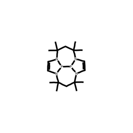 CC1(C)CC(C)(C)N2C=CN3P2P2N1C=CN2C(C)(C)CC3(C)C